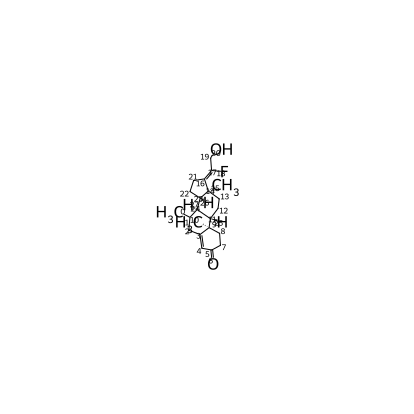 CC1CC2=CC(=O)CC[C@]2(C)[C@H]2CC[C@]3(C)C(=C(F)CO)CC[C@H]3[C@H]12